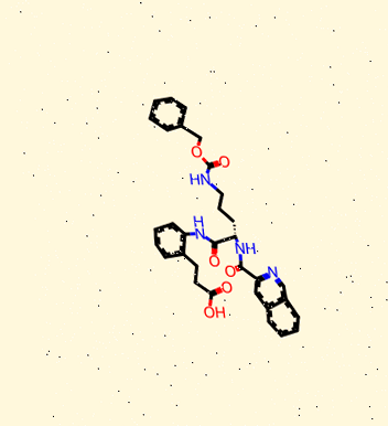 O=C(O)CCc1ccccc1NC(=O)[C@H](CCCNC(=O)OCc1ccccc1)NC(=O)c1cc2ccccc2cn1